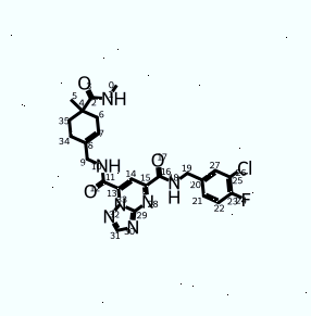 CNC(=O)C1(C)CC=C(CNC(=O)c2cc(C(=O)NCc3ccc(F)c(Cl)c3)nc3ncnn23)CC1